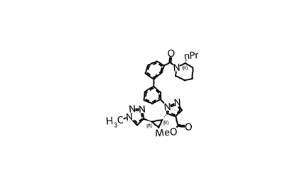 CCC[C@@H]1CCCCN1C(=O)c1cccc(-c2cccc(-n3ncc(C(=O)OC)c3[C@@H]3C[C@H]3c3cn(C)nn3)c2)c1